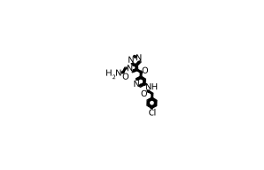 NC(=O)Cn1cc(C(=O)c2cncc(NC(=O)Cc3ccc(Cl)cc3)c2)c2cncnc21